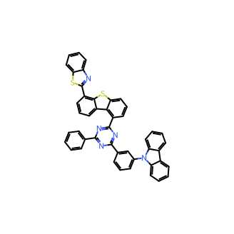 c1ccc(-c2nc(-c3cccc(-n4c5ccccc5c5ccccc54)c3)nc(-c3cccc4sc5c(-c6nc7ccccc7s6)cccc5c34)n2)cc1